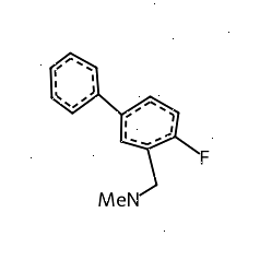 CNCc1cc(-c2ccccc2)ccc1F